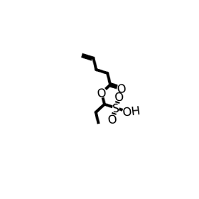 C=CCCC(=O)OC(CC)S(=O)(=O)O